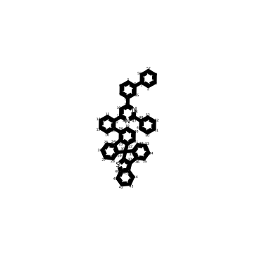 c1ccc(-c2cccc(-c3cc(-c4ccccc4-c4cccc5c4-c4ccccc4C54c5ccccc5-c5c4sc4ccccc54)nc(-c4ccccc4)n3)c2)cc1